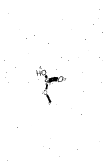 CO[Si](=O)O